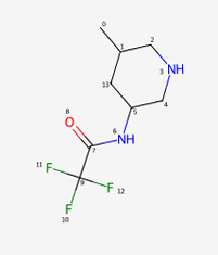 CC1CNCC(NC(=O)C(F)(F)F)C1